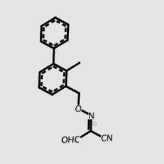 Cc1c(CO/N=C(/C#N)C=O)cccc1-c1ccccc1